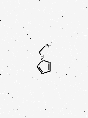 C[C](C)C[SH]1C=CC=C1